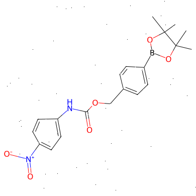 CC1(C)OB(c2ccc(COC(=O)Nc3ccc([N+](=O)[O-])cc3)cc2)OC1(C)C